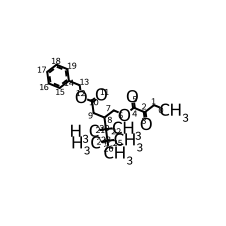 CCC(=O)C(=O)OCC(CC(=O)OCc1ccccc1)C(C)(C)C(C)(C)C